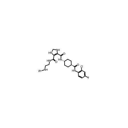 CC(C)NCCNC(=O)C1=C(C(=O)N[C@H]2CC[C@H](C(=O)Nc3ccc(F)cc3Cl)CC2)NCN1